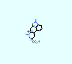 CN1C[C@H](C(=O)O)C=C2c3cccc4c3[C@@](C)(CN4)C[C@H]21